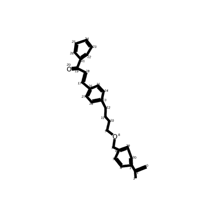 C=C(C)c1ccc(COCCCCc2ccc(C=CC(=O)c3ccccc3)cc2)cc1